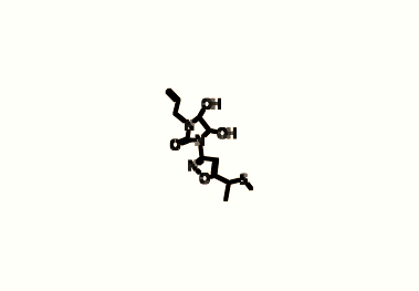 C=CCN1C(=O)N(c2cc(C(C)SC)on2)C(O)C1O